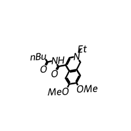 CCCCC(=O)NC(=O)C1=CN(CC)Cc2cc(OC)c(OC)cc21